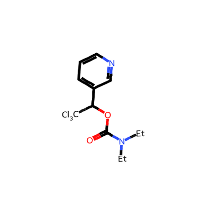 CCN(CC)C(=O)OC(c1cccnc1)C(Cl)(Cl)Cl